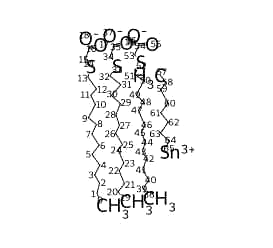 CCCCCCCCCCCCCCSCC(=O)[O-].CCCCCCCCCCCCCCSCC(=O)[O-].CCCCCCCCCCCCCCSCC(=O)[O-].CCCCCCC[CH2][Sn+3]